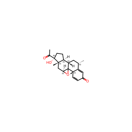 CC(=O)[C@@]1(O)CC[C@H]2[C@@H]3C[C@H](C)C4=CC(=O)C=C[C@]4(C)C34O[C@H]4C[C@@]21C